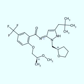 CO[C@@H](C)COc1ccc(C(F)(F)F)cc1C(=O)/N=c1\cc(CC(C)(C)C)[nH]n1C[C@H]1CCCO1